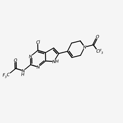 O=C(Nc1nc(Cl)c2cc(C3=CCN(C(=O)C(F)(F)F)CC3)[nH]c2n1)C(F)(F)F